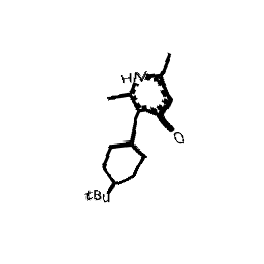 Cc1cc(=O)c(C2CCC(C(C)(C)C)CC2)c(C)[nH]1